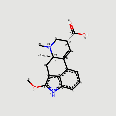 COc1[nH]c2cccc3c2c1C[C@@H]1C3=C[C@@H](C(=O)O)CN1C